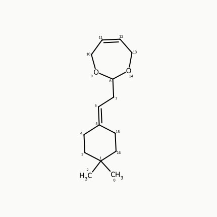 CC1(C)CCC(=CCC2OCC=CCO2)CC1